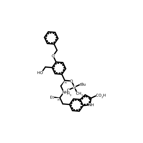 CC[C@H](Cc1ccc2[nH]c(C(=O)O)cc2c1)NC[C@H](O[Si](C)(C)C(C)(C)C)c1ccc(OCc2ccccc2)c(CO)c1